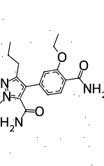 CCCc1nn(C)c(C(N)=O)c1-c1ccc(C(N)=O)c(OCC)c1